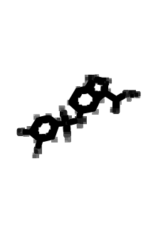 COC(=O)c1n[nH]c2ccc(NS(=O)(=O)c3ccc(Cl)c(Cl)c3)cc12